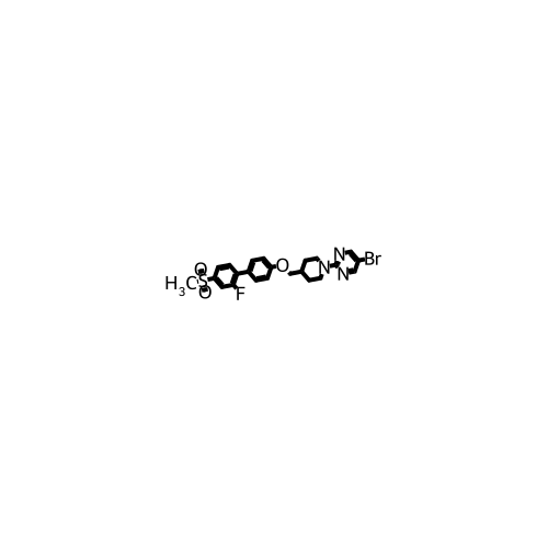 CS(=O)(=O)c1ccc(-c2ccc(OCC3CCN(c4ncc(Br)cn4)CC3)cc2)c(F)c1